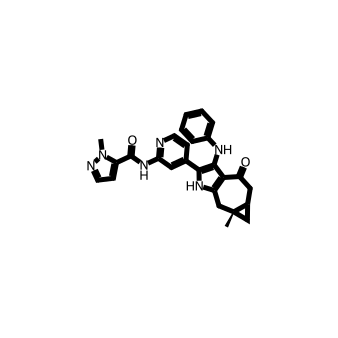 Cn1nccc1C(=O)Nc1cc(-c2[nH]c3c(c2Nc2ccccc2)C(=O)CC2C[C@]2(C)C3)ccn1